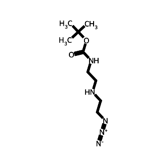 CC(C)(C)OC(=O)NCCNCCN=[N+]=[N-]